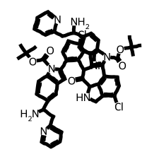 CC(C)(C)OC(=O)n1c(-c2ccc(Cl)c3c2C(C(=O)C2NCc4c(Cl)ccc(-c5cc6cc(C(N)Cc7ccccn7)ccc6n5C(=O)OC(C)(C)C)c42)NC3)cc2cc(C(N)Cc3ccccn3)ccc21